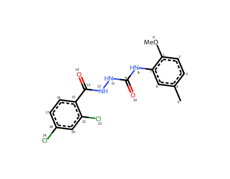 COc1ccc(C)cc1NC(=O)NNC(=O)c1ccc(Cl)cc1Cl